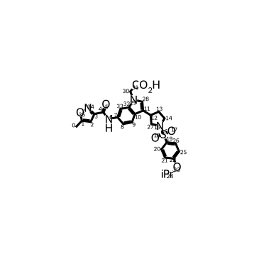 Cc1cc(C(=O)Nc2ccc3c(C4CCN(S(=O)(=O)c5ccc(OC(C)C)cc5)C4)cn(CC(=O)O)c3c2)no1